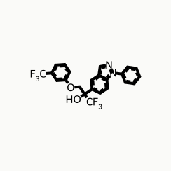 OC(COc1cccc(C(F)(F)F)c1)(c1ccc2c(cnn2-c2ccccc2)c1)C(F)(F)F